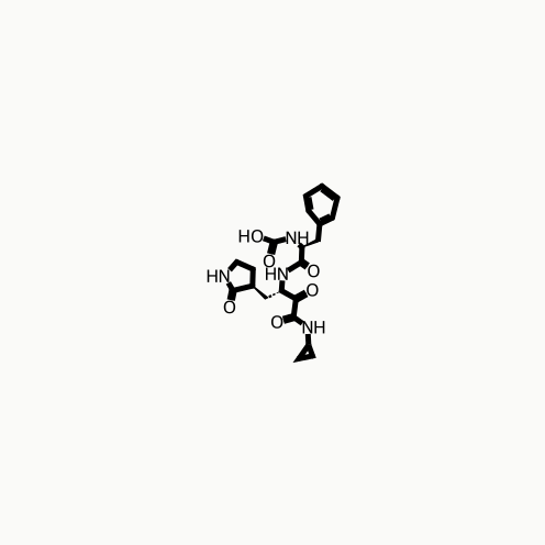 O=C(O)N[C@@H](Cc1ccccc1)C(=O)N[C@@H](C[C@@H]1CCNC1=O)C(=O)C(=O)NC1CC1